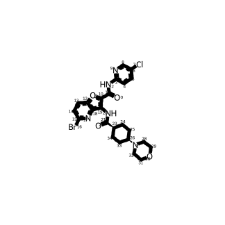 O=C(Nc1ccc(Cl)cn1)c1oc2ccc(Br)nc2c1NC(=O)[C@H]1CC[C@H](N2CCOCC2)CC1